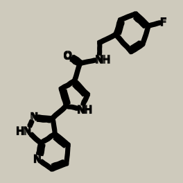 O=C(NCc1ccc(F)cc1)c1c[nH]c(-c2n[nH]c3ncccc23)c1